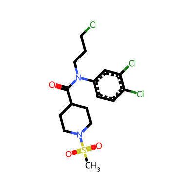 CS(=O)(=O)N1CCC(C(=O)N(CCCCl)c2ccc(Cl)c(Cl)c2)CC1